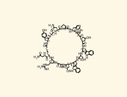 CCCC[C@H]1C(=O)N[C@@H](CCCNC(=N)N)C(=O)N[C@H](C(=O)NCC(N)=O)CSCC(=O)N[C@@H](Cc2ccc(O)cc2)C(=O)N(C)[C@@H](C)C(=O)N[C@@H](CC(N)=O)C(=O)N2CCC[C@H]2C(=O)N[C@@H](Cc2cnc[nH]2)C(=O)N[C@@H](CC(C)C)C(=O)N2C[C@H](O)CC2C(=O)N[C@@H](Cc2c[nH]c3ccccc23)C(=O)N[C@@H](CO)C(=O)N[C@@H](Cc2csc3ccccc23)C(=O)N(C)[C@@H](CCOC)C(=O)N1C